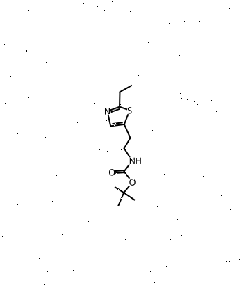 CCc1ncc(CCNC(=O)OC(C)(C)C)s1